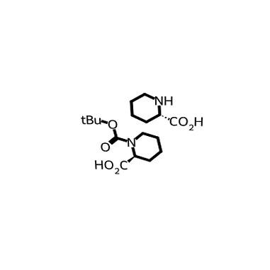 CC(C)(C)OC(=O)N1CCCC[C@H]1C(=O)O.O=C(O)[C@@H]1CCCCN1